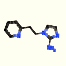 Nc1nccn1CCc1ccccn1